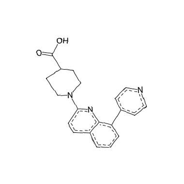 O=C(O)C1CCN(c2ccc3cccc(-c4ccncc4)c3n2)CC1